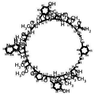 CO[C@H](C)[C@@H]1NC(=O)[C@@H]2CCCN2C(=O)[C@H](Cc2ccc(O)cc2)NC(=O)[C@H](C(C)(C)C)NC(=O)[C@@H](NC(C)=O)CSCc2cccc(c2)CSC[C@H](C(N)=O)NC(=O)[C@H]([C@@H](C)O)NC(=O)[C@](C)(C(C)C)NC(=O)[C@H](Cc2ccc(O)cc2)NC(=O)[C@H](C)NC(=O)C(C)(C)NC(=O)[C@H](Cc2c[nH]c3ncccc23)NC1=O